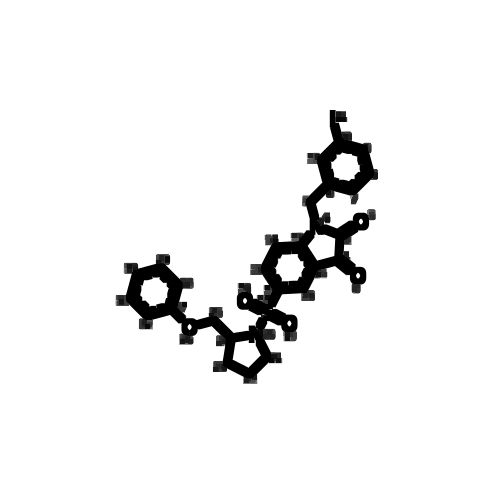 O=C1C(=O)N(Cc2cccc(I)c2)c2ccc(S(=O)(=O)N3CCCC3COc3ccccc3)cc21